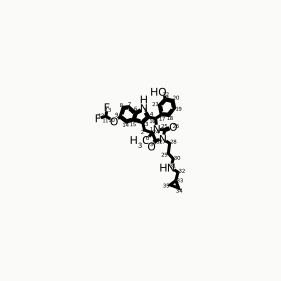 CC12Cc3c([nH]c4ccc(OC(F)F)cc34)C(c3cccc(O)c3)N1C(=O)N(CCCNCC1CC1)C2=O